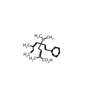 C=CC(C)=CC(C=Cc1ccccc1)(CC=C(C)C(=O)O)N(C)C